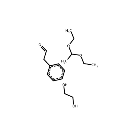 CCOC(C)OCC.O=CCc1ccccc1.OCCO